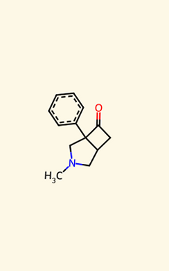 CN1CC2CC(=O)C2(c2ccccc2)C1